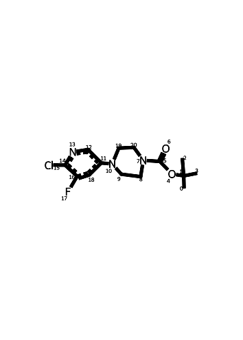 CC(C)(C)OC(=O)N1CCN(c2cnc(Cl)c(F)c2)CC1